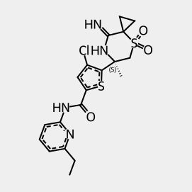 CCc1cccc(NC(=O)c2cc(Cl)c([C@]3(C)CS(=O)(=O)C4(CC4)C(=N)N3)s2)n1